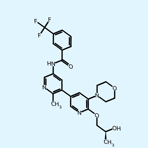 Cc1ncc(NC(=O)c2cccc(C(F)(F)F)c2)cc1-c1cnc(OC[C@H](C)O)c(N2CCOCC2)c1